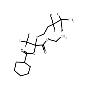 CCOC(=O)C(OCCC(F)(F)C(C)(F)F)(OC(=O)C1CCCCC1)C(F)(F)F